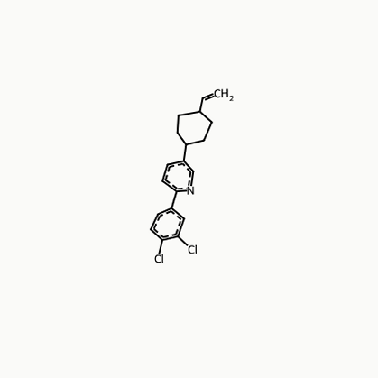 C=CC1CCC(c2ccc(-c3ccc(Cl)c(Cl)c3)nc2)CC1